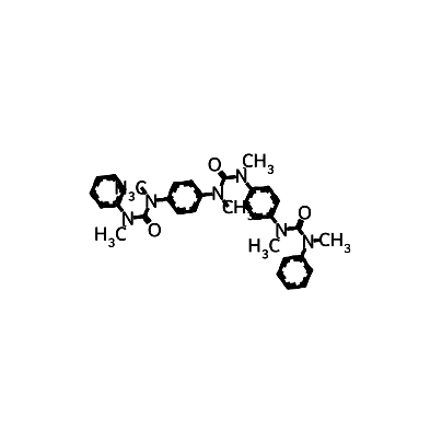 CN(C(=O)N(C)c1ccc(N(C)C(=O)N(C)c2ccc(N(C)C(=O)N(C)c3ccccc3)cc2)cc1)c1ccccc1